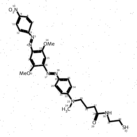 COc1cc(N=Nc2ccc([N+](=O)[O-])cc2)c(OC)cc1N=Nc1ccc(N(C)CCCC(=O)NCCS)cc1